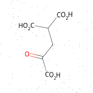 O=C(O)C(=O)CC(C(=O)O)C(=O)O